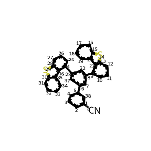 N#Cc1cccc(-c2cc(-c3cccc4sc5ccccc5c34)cc(-c3cccc4sc5ccccc5c34)c2)c1